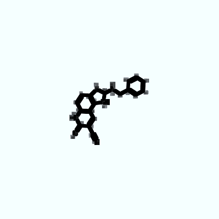 N#Cc1cc2c3c(ccc2[nH]c1=O)SC(NCc1ccccc1)N3